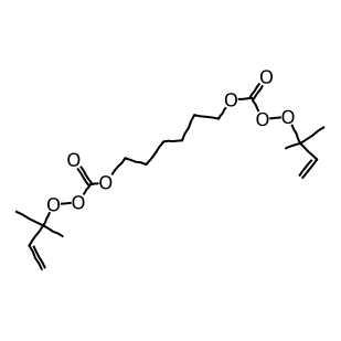 C=CC(C)(C)OOC(=O)OCCCCCCOC(=O)OOC(C)(C)C=C